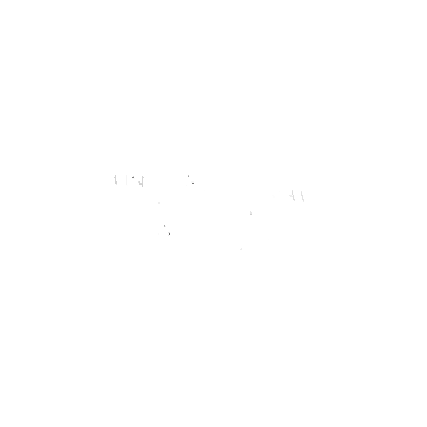 CN(CCOP(=O)(O)O)C(=N)N